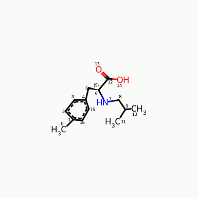 Cc1ccc(C[C@H](NCC(C)C)C(=O)O)cc1